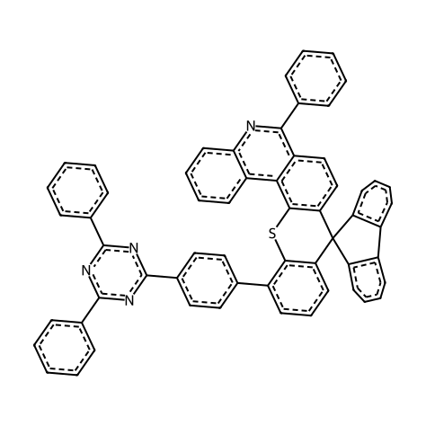 c1ccc(-c2nc(-c3ccccc3)nc(-c3ccc(-c4cccc5c4Sc4c(ccc6c(-c7ccccc7)nc7ccccc7c46)C54c5ccccc5-c5ccccc54)cc3)n2)cc1